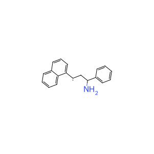 NC(C[CH]c1cccc2ccccc12)c1ccccc1